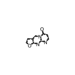 O=c1ccnc2nc3occc3cn12